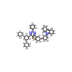 c1ccc(-c2cc(-c3ccccc3)cc(-c3nc(-c4ccccc4)nc4c3sc3ccc(-c5cccc(-n6c7ccccc7c7ccccc76)c5)cc34)c2)cc1